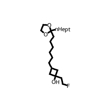 CCCCCCCC1(CCCCCCC2CC(O)(CCF)C2)OCCO1